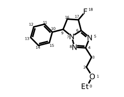 CCOCCc1nc2n(n1)C(c1ccccc1)CC2F